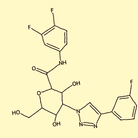 O=C(Nc1ccc(F)c(F)c1)C1OC(CO)C(O)C(n2cc(-c3cccc(F)c3)nn2)C1O